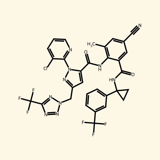 Cc1cc(C#N)cc(C(=O)NC2(c3cccc(C(F)(F)F)c3)CC2)c1NC(=O)c1cc(Cn2nnc(C(F)(F)F)n2)nn1-c1ncccc1Cl